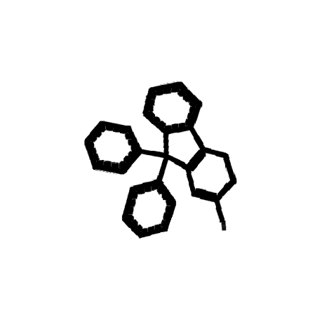 IC1=CC2=C(CC1)c1ccccc1C2(c1ccccc1)c1ccccc1